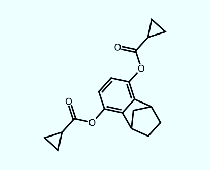 O=C(Oc1ccc(OC(=O)C2CC2)c2c1C1CCC2C1)C1CC1